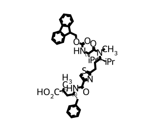 CC(C)[C@H](NC(=O)OCC1c2ccccc2-c2ccccc21)C(=O)N(C)[C@H](CCc1nc(C(=O)N[C@H](Cc2ccccc2)C[C@H](C)C(=O)O)cs1)C(C)C